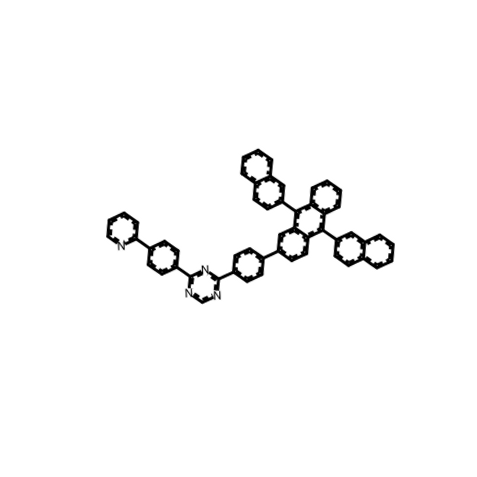 c1ccc(-c2ccc(-c3ncnc(-c4ccc(-c5ccc6c(-c7ccc8ccccc8c7)c7ccccc7c(-c7ccc8ccccc8c7)c6c5)cc4)n3)cc2)nc1